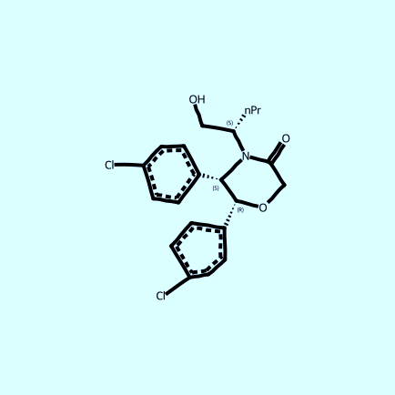 CCC[C@@H](CO)N1C(=O)CO[C@H](c2ccc(Cl)cc2)[C@@H]1c1ccc(Cl)cc1